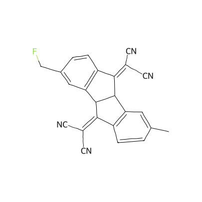 Cc1ccc2c(c1)C1C(=C(C#N)C#N)c3ccc(CF)cc3C1C2=C(C#N)C#N